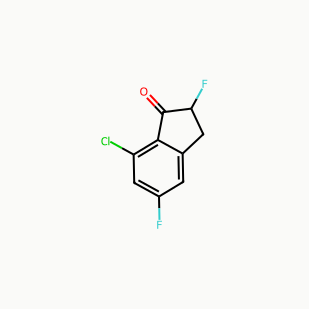 O=C1c2c(Cl)cc(F)cc2CC1F